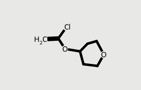 C=C(Cl)OC1CCOCC1